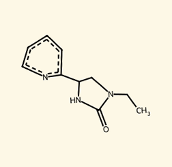 CCN1CC(c2ccccn2)NC1=O